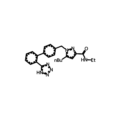 CCCCc1cc(C(=O)NCC)nn1Cc1ccc(-c2ccccc2-c2nnn[nH]2)cc1